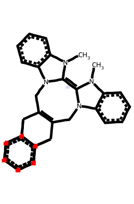 CN1/C2=C3\N(C)c4ccccc4N3CC3=C(CN2c2ccccc21)C1c2ccccc2C3c2ccccc21